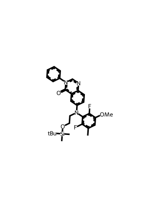 COc1cc(C)c(F)c(N(CCO[Si](C)(C)C(C)(C)C)c2ccc3ncn(-c4ccccc4)c(=O)c3c2)c1F